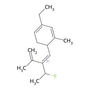 C=C(C)/C(=C\C1CC=C(CC)C=C1C)C(C)F